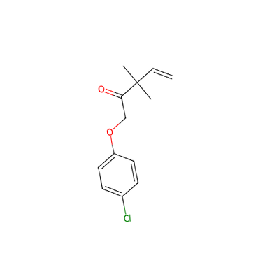 C=CC(C)(C)C(=O)COc1ccc(Cl)cc1